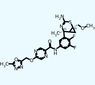 COC[C@]12CC1[C@@](C)(c1cc(NC(=O)c3cnc(OCc4nnc(C)o4)cn3)cc(F)c1F)N=C(N)S2